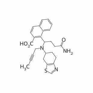 CC#CCN(C1CCc2ncsc2C1)C(CCC(N)=O)c1c(C(=O)O)ccc2ccccc12